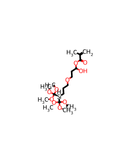 C=C(C)C(=O)OC(O)CCOCCC[SiH](C(OC)(OC)OC)C(OC)(OC)OC